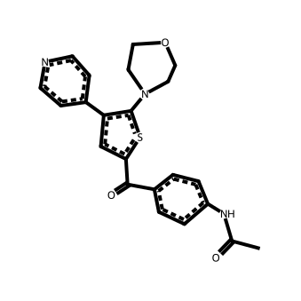 CC(=O)Nc1ccc(C(=O)c2cc(-c3ccncc3)c(N3CCOCC3)s2)cc1